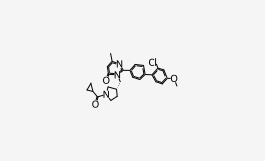 COc1ccc(-c2ccc(-c3nc(C)cc(=O)n3C[C@@H]3CCN(C(=O)C4CC4)C3)cc2)c(Cl)c1